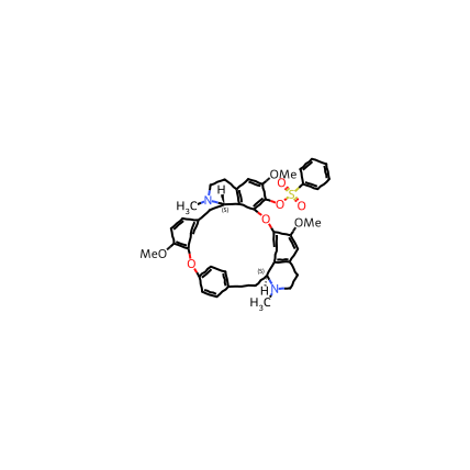 COc1ccc2cc1Oc1ccc(cc1)C[C@H]1c3cc(c(OC)cc3CCN1C)Oc1c(OS(=O)(=O)c3ccccc3)c(OC)cc3c1[C@H](C2)N(C)CC3